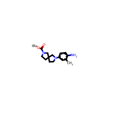 Cc1cc(N2CCC3(CCN(C(=O)OC(C)(C)C)C3)C2)ccc1N